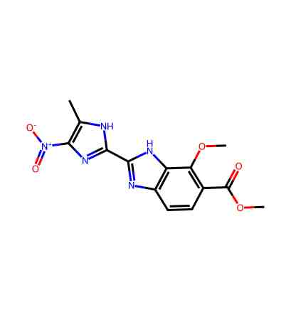 COC(=O)c1ccc2nc(-c3nc([N+](=O)[O-])c(C)[nH]3)[nH]c2c1OC